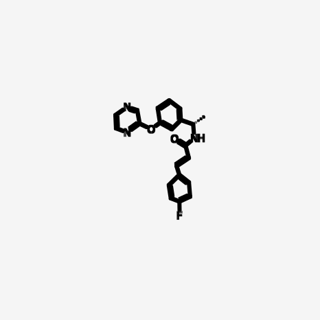 C[C@H](NC(=O)C=Cc1ccc(F)cc1)c1cccc(Oc2cnccn2)c1